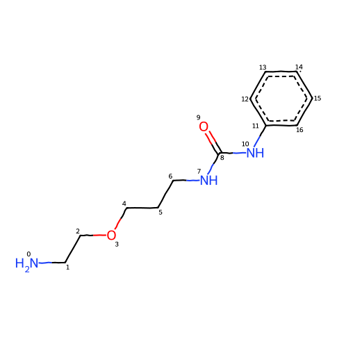 NCCOCCCNC(=O)Nc1cc[c]cc1